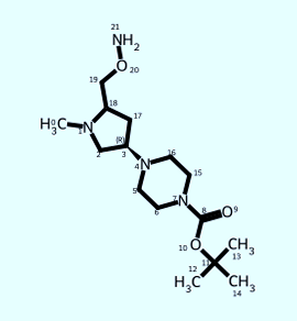 CN1C[C@H](N2CCN(C(=O)OC(C)(C)C)CC2)CC1CON